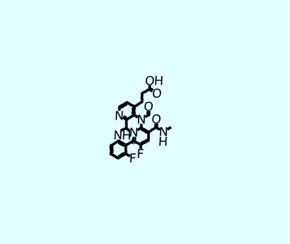 CNC(=O)c1cc(F)c(-c2c(N)cccc2F)nc1N(C=O)c1c(CCC(=O)O)ccnc1C(C)C